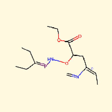 C=N/C(=C\C)CC(ONP=C(CC)CC)C(=O)OCC